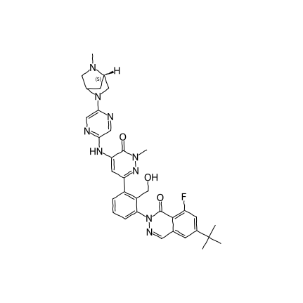 CN1CC2C[C@H]1CN2c1cnc(Nc2cc(-c3cccc(-n4ncc5cc(C(C)(C)C)cc(F)c5c4=O)c3CO)nn(C)c2=O)cn1